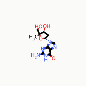 C[C@]1(CO)O[C@@H](n2cnc3c(=O)[nH]c(N)nc32)C[C@@H]1O